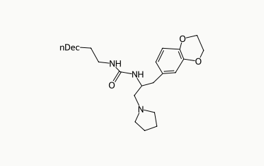 CCCCCCCCCCCCNC(=O)NC(Cc1ccc2c(c1)OCCO2)CN1CCCC1